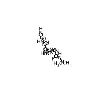 CN(C)CCNc1cc(F)cc(-c2nccc3[nH]c(-c4n[nH]c5ccc(-c6cncc(NC(=O)CC7CCNCC7)n6)cc45)nc23)c1